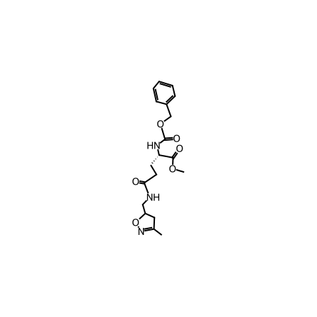 COC(=O)[C@H](CCC(=O)NCC1CC(C)=NO1)NC(=O)OCc1ccccc1